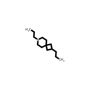 CCCC1CC2(CCN(CCC)CC2)C1